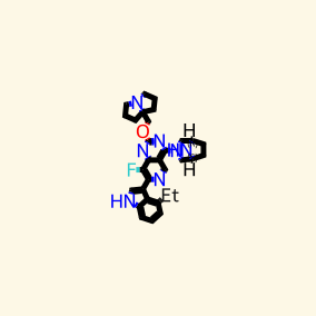 CCc1cccc2[nH]cc(-c3ncc4c(N5C[C@H]6CC[C@@H](C5)N6)nc(OCC56CCCN5CCC6)nc4c3F)c12